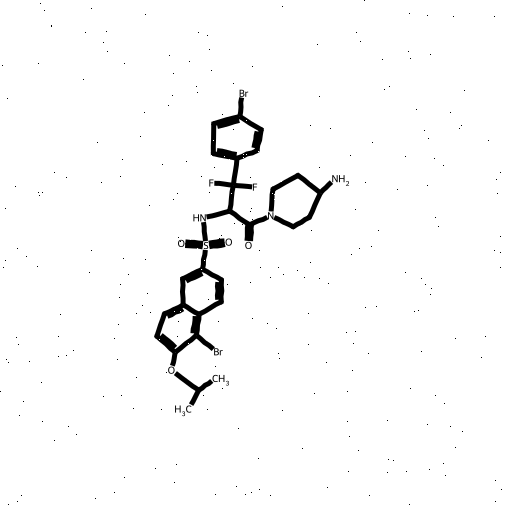 CC(C)Oc1ccc2cc(S(=O)(=O)NC(C(=O)N3CCC(N)CC3)C(F)(F)c3ccc(Br)cc3)ccc2c1Br